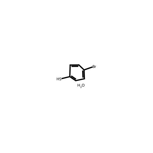 O.Sc1ccc(Br)cc1